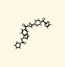 O=C(Cn1ccc2cc(C(=O)N3CC(N4CCN(C(=O)c5nccs5)CC4)C3)ccc21)N1CCCC1